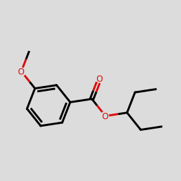 CCC(CC)OC(=O)c1cccc(OC)c1